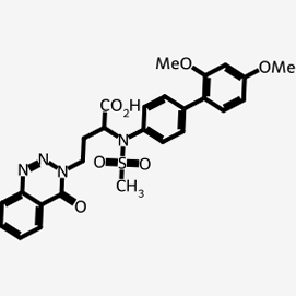 COc1ccc(-c2ccc(N(C(CCn3nnc4ccccc4c3=O)C(=O)O)S(C)(=O)=O)cc2)c(OC)c1